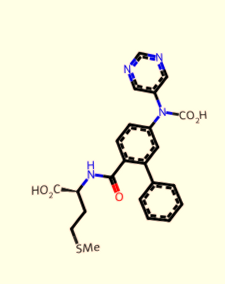 CSCC[C@H](NC(=O)c1ccc(N(C(=O)O)c2cncnc2)cc1-c1ccccc1)C(=O)O